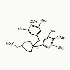 COc1c(C(C)(C)C)cc(SC2(Sc3cc(C(C)(C)C)c(OC)c(C(C)(C)C)c3)CCN(CC(=O)O)CC2)cc1C(C)(C)C